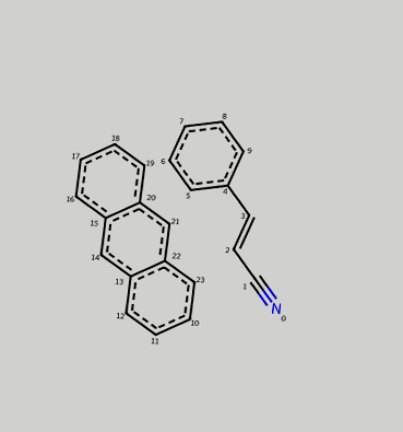 N#CC=Cc1ccccc1.c1ccc2cc3ccccc3cc2c1